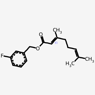 CC(C)=CCC/C(C)=C/C(=O)OCc1cccc(F)c1